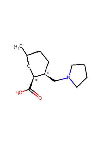 CC1CC[C@@H](CN2CCCC2)[C@@H](C(=O)O)C1